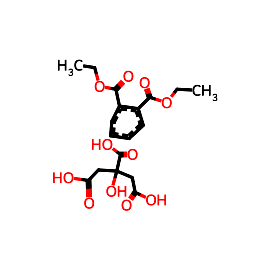 CCOC(=O)c1ccccc1C(=O)OCC.O=C(O)CC(O)(CC(=O)O)C(=O)O